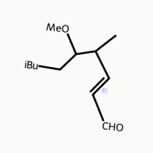 CCC(C)CC(OC)C(C)/C=C/C=O